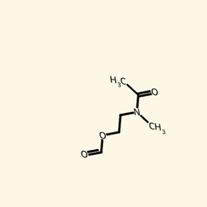 CC(=O)N(C)CCOC=O